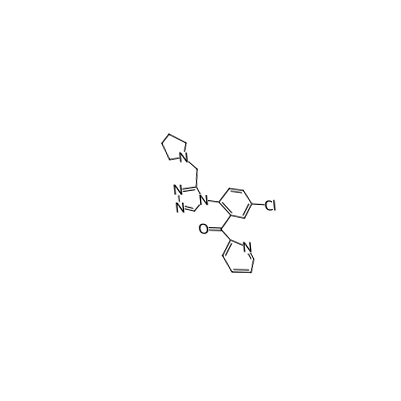 O=C(c1ccccn1)c1cc(Cl)ccc1-n1cnnc1CN1CCCC1